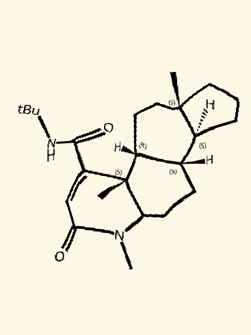 CN1C(=O)C=C(C(=O)NC(C)(C)C)[C@@]2(C)C1CC[C@@H]1[C@H]2CC[C@]2(C)CCC[C@@H]12